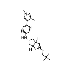 Cc1nn(C)cc1-c1cnc(N[C@@H]2C[C@@H]3CN(CCC(C)(C)C)C[C@@H]3C2)cn1